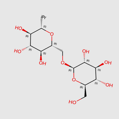 CC(C)[C@@H]1O[C@H](CO[C@@H]2O[C@H](CO)[C@@H](O)[C@H](O)[C@H]2O)[C@@H](O)[C@H](O)[C@H]1O